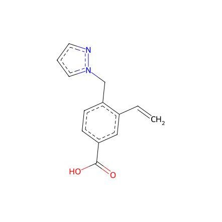 C=Cc1cc(C(=O)O)ccc1Cn1cccn1